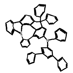 c1ccc(-c2cc(-c3ccccc3)cc(N(c3ccccc3)c3cc4c5c(c3)C(c3ccccc3)(c3ccccc3)c3ccc6c7ccccc7n(c6c3-5)-c3ccccc3-4)c2)cc1